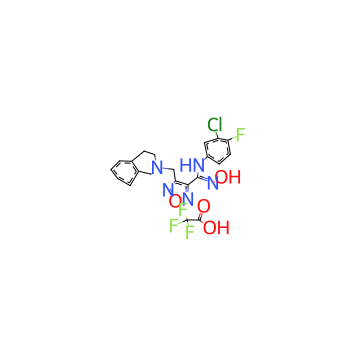 O/N=C(\Nc1ccc(F)c(Cl)c1)c1nonc1CN1CCc2ccccc2C1.O=C(O)C(F)(F)F